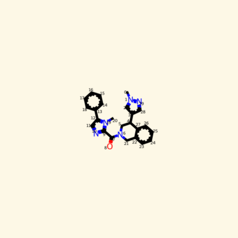 Cn1cc(C2CN(C(=O)c3ncc(-c4ccccc4)n3C)Cc3ccccc32)cn1